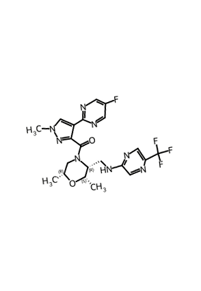 C[C@@H]1CN(C(=O)c2nn(C)cc2-c2ncc(F)cn2)[C@H](CNc2cnc(C(F)(F)F)cn2)[C@H](C)O1